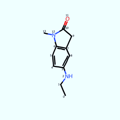 CCNc1ccc2c(c1)CC(=O)N2C